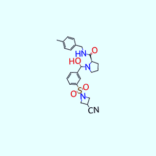 Cc1ccc(CNC(=O)[C@H]2CCCN2C(O)c2cccc(S(=O)(=O)N3CC(C#N)C3)c2)cc1